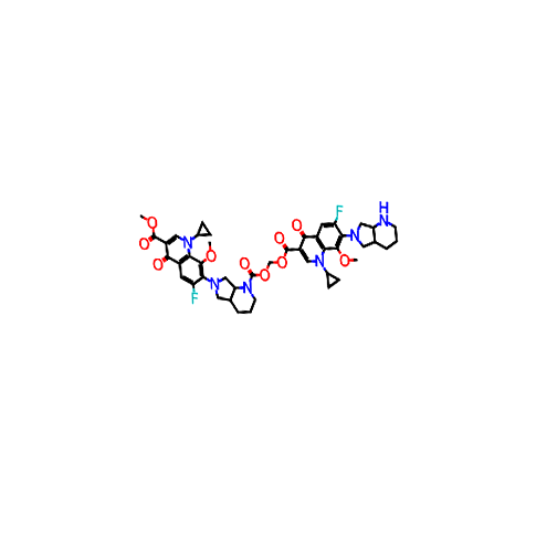 COC(=O)c1cn(C2CC2)c2c(OC)c(N3CC4CCCN(C(=O)OCOC(=O)c5cn(C6CC6)c6c(OC)c(N7CC8CCCNC8C7)c(F)cc6c5=O)C4C3)c(F)cc2c1=O